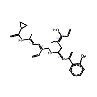 C=C/C(=C\C=C(/C)NC(=C)C1CC1)CN/C(=C/C(=C)c1ccccc1O)C/C(C)=C(/O)C=C